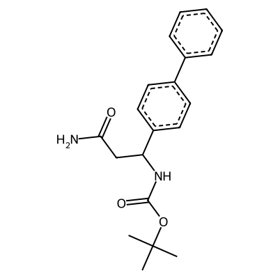 CC(C)(C)OC(=O)NC(CC(N)=O)c1ccc(-c2ccccc2)cc1